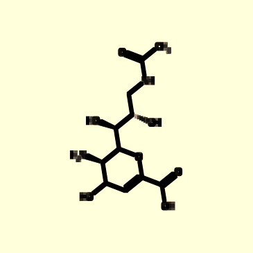 CC(=O)NC[C@H](O)[C@H](O)C1OC(C(=O)O)=CC(O)[C@H]1N